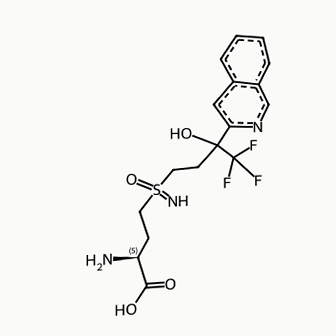 N=S(=O)(CC[C@H](N)C(=O)O)CCC(O)(c1cc2ccccc2cn1)C(F)(F)F